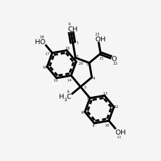 C#CCC(CC(C)(c1ccc(O)cc1)c1ccc(O)cc1)C(=O)O